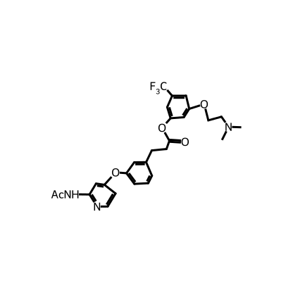 CC(=O)Nc1cc(Oc2cccc(CCC(=O)Oc3cc(OCCN(C)C)cc(C(F)(F)F)c3)c2)ccn1